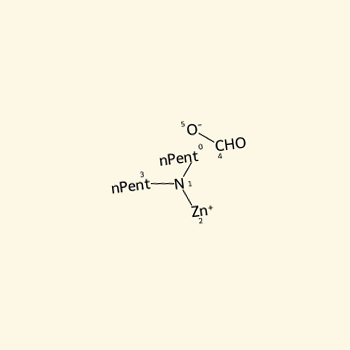 CCCCC[N]([Zn+])CCCCC.O=C[O-]